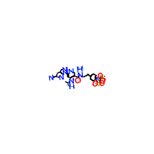 CC(C)Nc1cc(-n2ncc3cc(C#N)cnc32)ncc1C(=O)NCCc1ccc(N(S(C)(=O)=O)S(C)(=O)=O)cc1